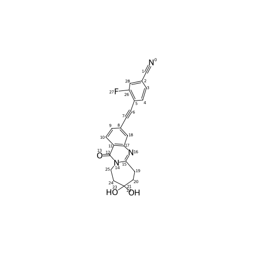 N#Cc1ccc(C#Cc2ccc3c(=O)n4c(nc3c2)CCC(O)(O)CC4)c(F)c1